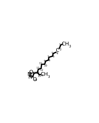 CCCCCCCCCCCCCCC(CC)C1ON=NC1=O